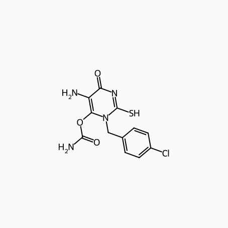 NC(=O)Oc1c(N)c(=O)nc(S)n1Cc1ccc(Cl)cc1